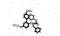 COc1ccc(CC(=O)O)cc1-c1ccc(OC)c2c1CN(OC(=O)OCc1ccccc1)CC2